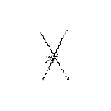 C=C(C)C([O][Ti]([OH])([OH])[O]C(C)C)(C(CCCCCCCCCCCC)CCCCCCCCCCCCC)C(CCCCCCCCCCCC)CCCCCCCCCCCCC